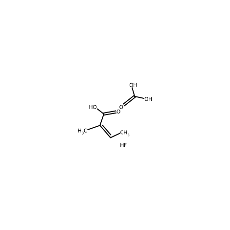 CC=C(C)C(=O)O.F.O=C(O)O